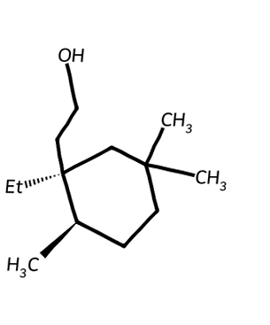 CC[C@]1(CCO)CC(C)(C)CC[C@H]1C